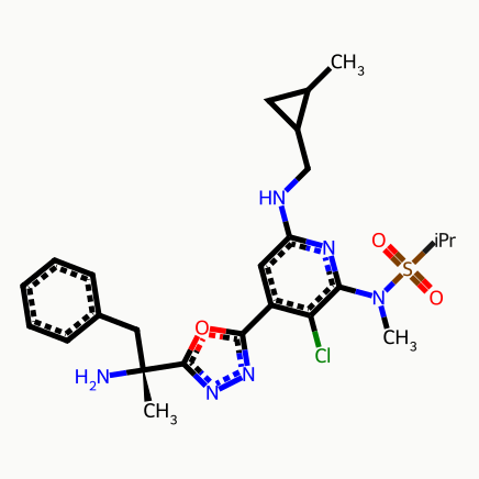 CC1CC1CNc1cc(-c2nnc([C@](C)(N)Cc3ccccc3)o2)c(Cl)c(N(C)S(=O)(=O)C(C)C)n1